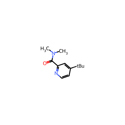 CN(C)C(=O)c1cc(C(C)(C)C)ccn1